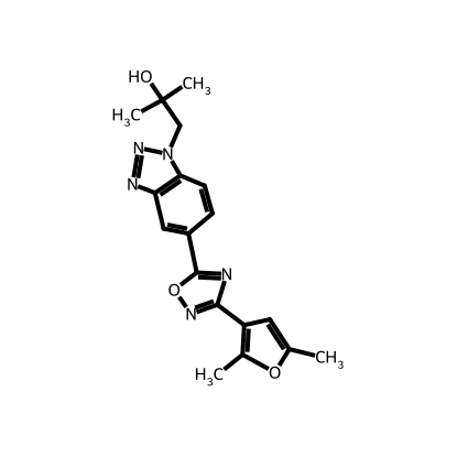 Cc1cc(-c2noc(-c3ccc4c(c3)nnn4CC(C)(C)O)n2)c(C)o1